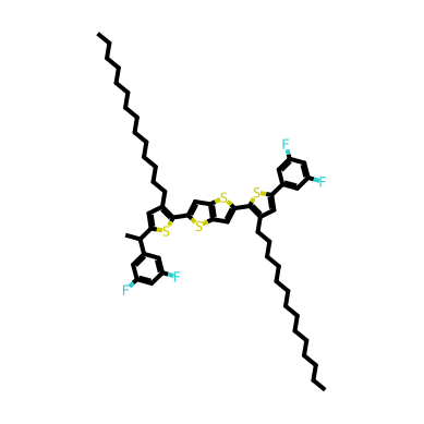 CCCCCCCCCCCCCCc1cc(-c2cc(F)cc(F)c2)sc1-c1cc2sc(-c3sc(C(C)c4cc(F)cc(F)c4)cc3CCCCCCCCCCCCCC)cc2s1